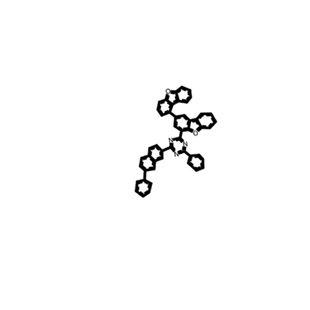 c1ccc(-c2ccc3ccc(-c4nc(-c5ccccc5)nc(-c5cc(-c6cccc7oc8ccccc8c67)cc6c5oc5ccccc56)n4)cc3c2)cc1